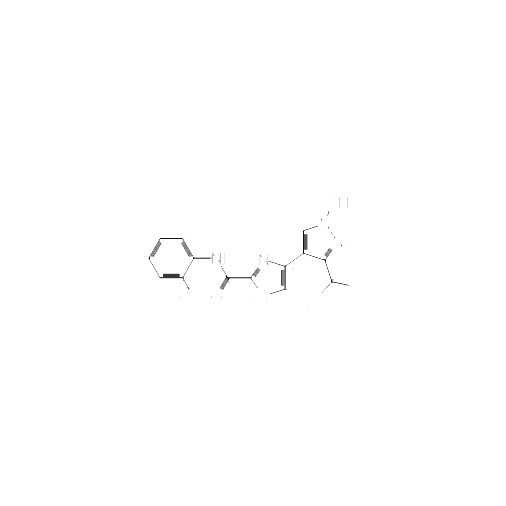 Cn1cc(-c2csc(C(=O)Nc3ccccc3C(F)(F)F)n2)c(C(F)F)n1